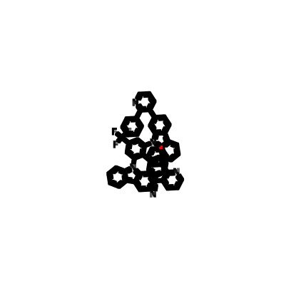 N#Cc1cccc(-c2c(-n3c4ccccc4c4ccc(-c5cccnc5-c5ccccc5)cc43)cc(C(F)(F)F)cc2-n2c3ccccc3c3ccc(-c4cccnc4-c4ccccc4)cc32)c1